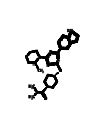 C[C@H]1COCCN1c1nc(O[C@H]2CC[C@H](C(=O)N(C)C)CC2)nc(-c2ccc3[nH]ccc3c2)n1